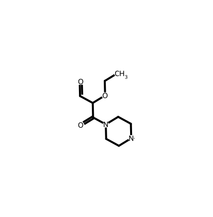 CCOC(C=O)C(=O)N1CC[N]CC1